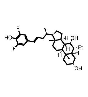 CC[C@H]1[C@@H](O)[C@@H]2[C@H](CC[C@]3(C)[C@@H]([C@H](C)C/C=C/c4cc(F)c(O)c(F)c4)CC[C@@H]23)[C@@]2(C)CC[C@@H](O)C[C@@H]12